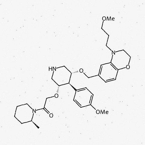 COCCCN1CCOc2ccc(CO[C@H]3CNC[C@@H](OCC(=O)N4CCCC[C@@H]4C)[C@@H]3c3ccc(OC)cc3)cc21